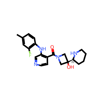 Cc1ccc(Nc2cnccc2C(=O)N2CC(O)([C@@H]3CCCCN3)C2)c(F)c1